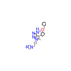 Cc1c(-c2cccc(OCc3ccccc3)c2)c2c(N)ncnc2n1C1CC(CN2CCN(C)CC2)C1